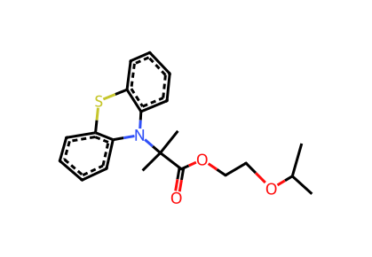 CC(C)OCCOC(=O)C(C)(C)N1c2ccccc2Sc2ccccc21